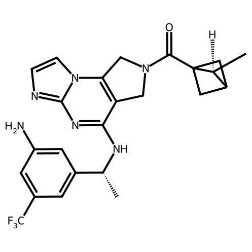 C[C@@H](Nc1nc2nccn2c2c1CN(C(=O)C13CC(C1)[C@@H]3C)C2)c1cc(N)cc(C(F)(F)F)c1